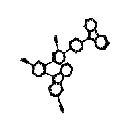 N#Cc1ccc(-n2c3ccccc3c3cc(C#N)ccc32)c(-c2ccc(-c3ccc(-n4c5ccccc5c5ccccc54)cc3)c(C#N)c2)c1